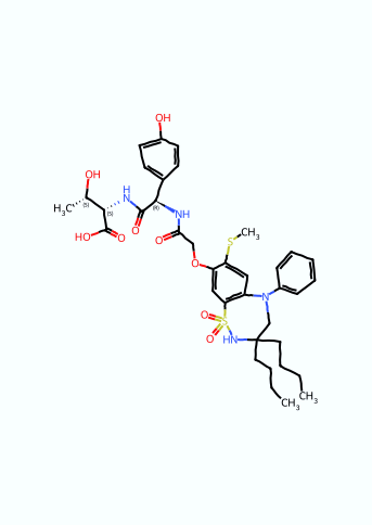 CCCCC1(CCCC)CN(c2ccccc2)c2cc(SC)c(OCC(=O)N[C@@H](C(=O)N[C@H](C(=O)O)[C@H](C)O)c3ccc(O)cc3)cc2S(=O)(=O)N1